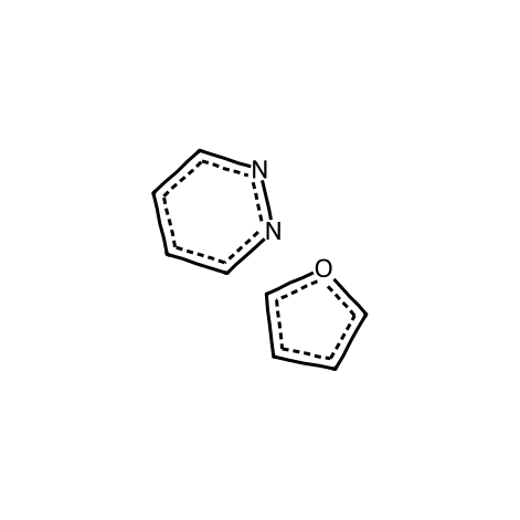 c1ccnnc1.c1ccoc1